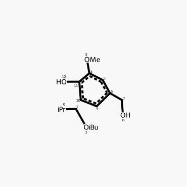 CC(C)COCC(C)C.COc1cc(CO)ccc1O